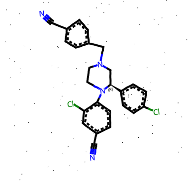 N#Cc1ccc(CN2CCN(c3ccc(C#N)cc3Cl)[C@H](c3ccc(Cl)cc3)C2)cc1